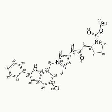 Cc1cc(NC(=O)C[C@@H]2CCCN2C(=O)OC(C)(C)C)nn1Cc1cc(Cl)cc2cc(-c3ccccc3)oc12